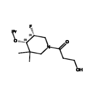 CC(C)O[C@@H]1[C@H](F)CN(C(=O)CCO)CC1(C)C